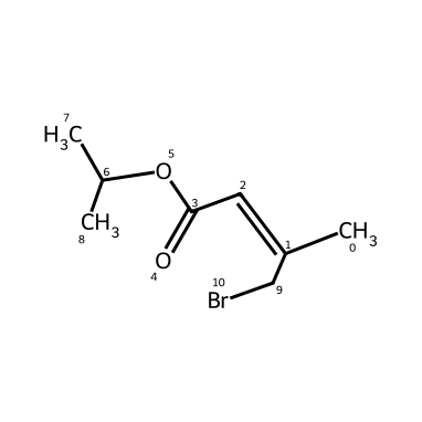 CC(=CC(=O)OC(C)C)CBr